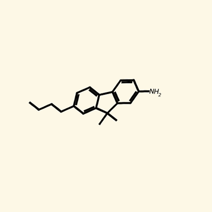 CCCCc1ccc2c(c1)C(C)(C)c1cc(N)ccc1-2